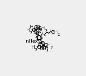 C=CCCCCc1cc(B2OC(C)(C)C(C)(C)O2)c(CCCCCC)cc1B1OC(C)(C)C(C)(C)O1